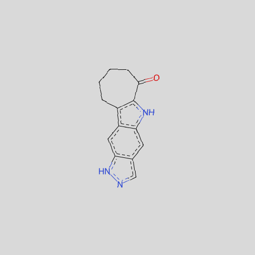 O=C1CCCCc2c1[nH]c1cc3cn[nH]c3cc21